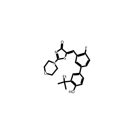 CCC(C)(C)c1cc(-c2ccc(F)c(C=C3SC(N4CCOCC4)=NC3=O)c2)ccc1O